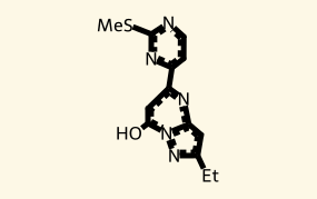 CCc1cc2nc(-c3ccnc(SC)n3)cc(O)n2n1